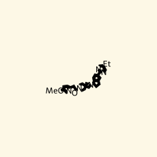 CCc1cnc(-c2ccc3c(c2)CCC3N2CC3(CCN(C(=O)Cc4ccc(OC)cn4)CC3)C2)nc1